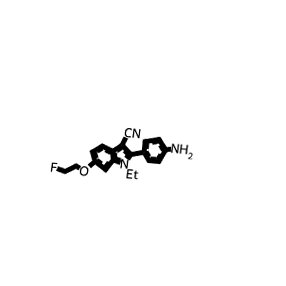 CCn1c(-c2ccc(N)cc2)c(C#N)c2ccc(OCCF)cc21